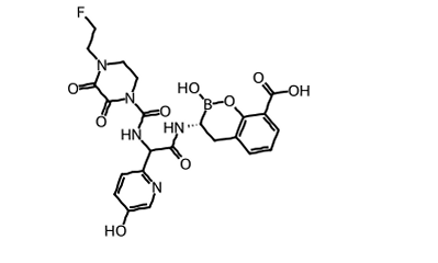 O=C(O)c1cccc2c1OB(O)[C@@H](NC(=O)C(NC(=O)N1CCN(CCF)C(=O)C1=O)c1ccc(O)cn1)C2